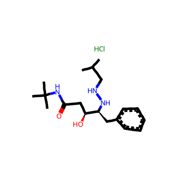 CC(C)CNN[C@@H](Cc1ccccc1)[C@@H](O)CC(=O)NC(C)(C)C.Cl